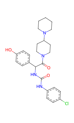 O=C(Nc1ccc(Cl)cc1)NC(C(=O)N1CCC(N2CCCCC2)CC1)c1ccc(O)cc1